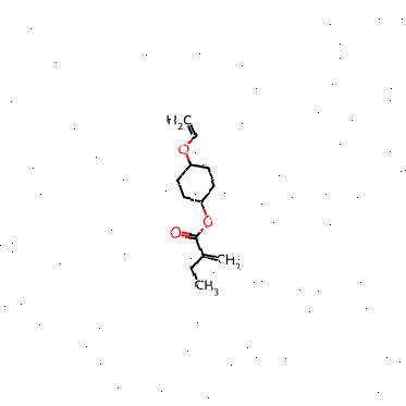 C=COC1CCC(OC(=O)C(=C)CC)CC1